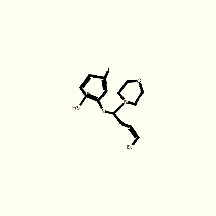 CC/C=C\CC(Sc1cc(I)ccc1S)N1CCOCC1